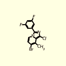 Cc1c(Br)ccn2c(-c3cc(F)cc(F)c3)nc(Cl)c12